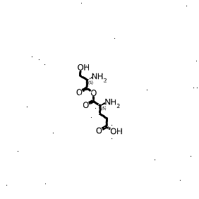 N[C@@H](CO)C(=O)OC(=O)[C@@H](N)CCC(=O)O